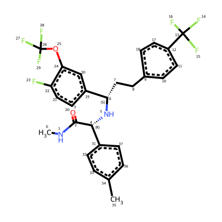 CNC(=O)[C@H](N[C@@H](CCc1ccc(C(F)(F)F)cc1)c1ccc(F)c(OC(F)(F)F)c1)c1ccc(C)cc1